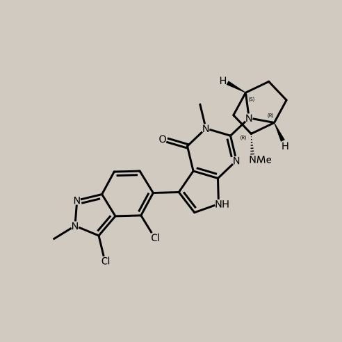 CN[C@@H]1C[C@@H]2CC[C@H]1N2c1nc2[nH]cc(-c3ccc4nn(C)c(Cl)c4c3Cl)c2c(=O)n1C